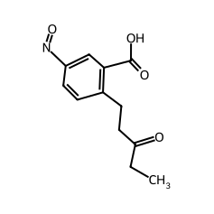 CCC(=O)CCc1ccc(N=O)cc1C(=O)O